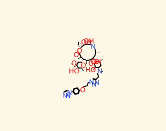 CC[C@H]1OC(=O)[C@H](C)C([C@H]2C[C@@](C)(OC)[C@@H](O)[C@H](C)O2)[C@H](C)[C@@H](O[C@@H]2O[C@H](C)C[C@H](N(C)CCc3cn(CCCOc4ccc(-n5ccnn5)cc4)nn3)[C@H]2O)[C@](C)(O)C[C@@H](C)CN(C)[C@H](C)[C@@H](O)[C@]1(C)O